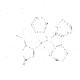 COC1OC(=O)CC1C(C)(C)[P+](c1ccccc1)(c1ccccc1)c1ccccc1.[I-]